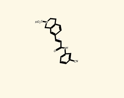 N#Cc1cccc(NC(=O)/C=C/c2ccc3c(c2)CN(C(=O)O)CC3)c1